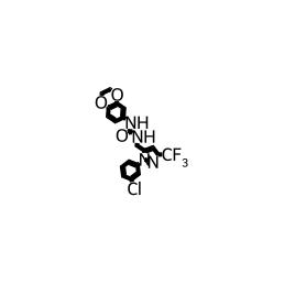 O=C(NCc1cc(C(F)(F)F)nn1-c1cccc(Cl)c1)Nc1ccc2c(c1)OCCO2